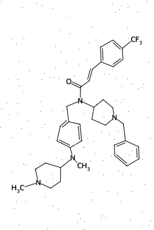 CN1CCC(N(C)c2ccc(CN(C(=O)C=Cc3ccc(C(F)(F)F)cc3)C3CCN(Cc4ccccc4)CC3)cc2)CC1